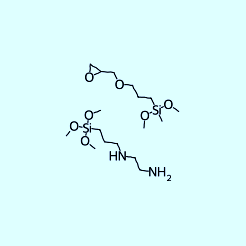 CO[Si](C)(CCCOCC1CO1)OC.CO[Si](CCCNCCN)(OC)OC